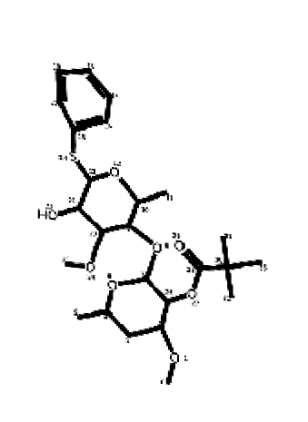 COC1CC(C)OC(OC2C(C)OC(Sc3ccccc3)C(O)C2OC)C1OC(=O)C(C)(C)C